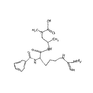 CC(CN(C)C(=O)O)NC(=O)C(CCCNC(=N)N)NC(=O)c1ccccc1